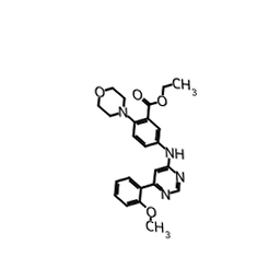 CCOC(=O)c1cc(Nc2cc(-c3ccccc3OC)ncn2)ccc1N1CCOCC1